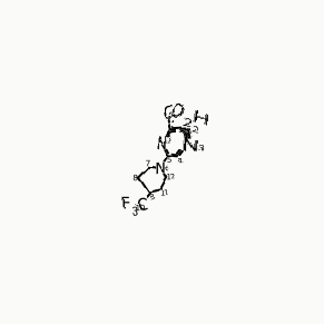 O=C(O)c1cncc(N2CCC(C(F)(F)F)CC2)n1